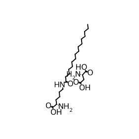 CCCCCCCCCCCCCCCC(=O)NCCCC[C@H](N)C(=O)O.N[C@@H](CC(=O)O)C(=O)O